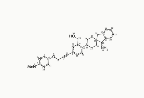 CNc1ncc(OCC#Cc2cnc(N3CCC4(CC3)Cc3ccccc3[C@H]4N)c(CO)n2)cn1